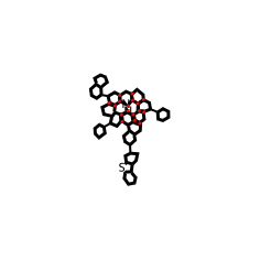 c1ccc(-c2ccc(-c3ccccc3N(c3ccccc3-c3ccccc3N(c3ccc(-c4cccc5ccccc45)cc3)c3ccc4c(ccc5cc(-c6ccc7c(c6)sc6ccccc67)ccc54)c3)c3ccc(-c4ccccc4)c4ccccc34)cc2)cc1